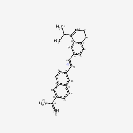 CC(C)C1=NCCc2ccc(/C=C/c3ccc4cc(C(=N)N)ccc4c3)cc21